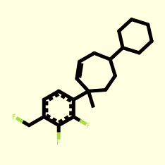 CC1(c2ccc(CF)c(F)c2F)C=CCC(C2CCCCC2)CC1